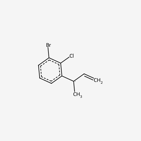 C=C[C](C)c1cccc(Br)c1Cl